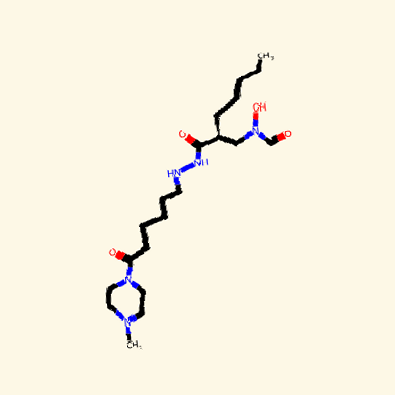 CCCCC[C@@H](CN(O)C=O)C(=O)NNCCCCCC(=O)N1CCN(C)CC1